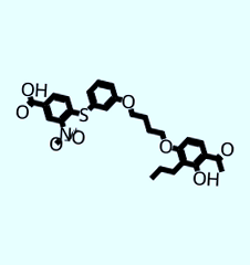 CCCc1c(OCCCCOc2cccc(Sc3ccc(C(=O)O)cc3[N+](=O)[O-])c2)ccc(C(C)=O)c1O